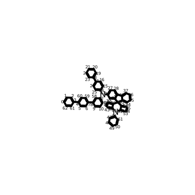 c1ccc(-c2ccc(-c3cccc(N(c4ccc(-c5ccccc5)cc4)c4ccc5c(c4)C4(c6ccccc6-5)c5ccccc5N(c5ccccc5)c5ccccc54)c3)cc2)cc1